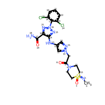 CN=S1(=O)CCN(C(=O)Cn2cc(Nc3nn(-c4c(Cl)cccc4Cl)nc3C(N)=O)cn2)CC1